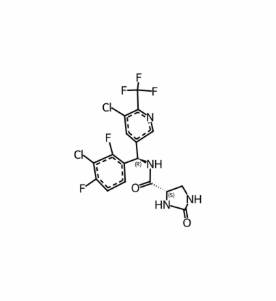 O=C1NC[C@@H](C(=O)N[C@H](c2cnc(C(F)(F)F)c(Cl)c2)c2ccc(F)c(Cl)c2F)N1